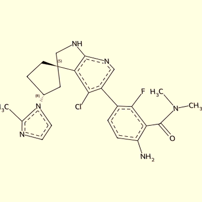 Cc1nccn1[C@@H]1CC[C@]2(CNc3ncc(-c4ccc(N)c(C(=O)N(C)C)c4F)c(Cl)c32)C1